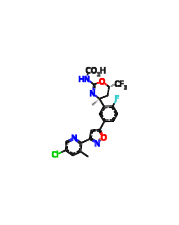 Cc1cc(Cl)cnc1-c1cc(-c2ccc(F)c([C@]3(C)C[C@@H](C(F)(F)F)OC(NC(=O)O)=N3)c2)on1